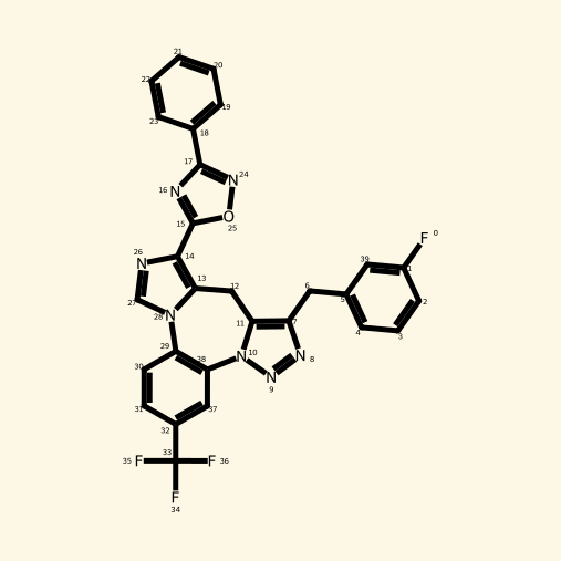 Fc1cccc(Cc2nnn3c2Cc2c(-c4nc(-c5ccccc5)no4)ncn2-c2ccc(C(F)(F)F)cc2-3)c1